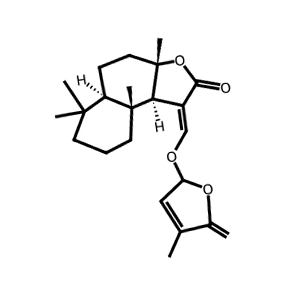 C=C1OC(O/C=C2/C(=O)O[C@@]3(C)CC[C@@H]4C(C)(C)CCC[C@@]4(C)[C@H]23)C=C1C